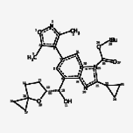 Cc1noc(C)c1-c1cc(C(O)[C@H]2CCC3(CC3)O2)c2nc(C3CC3)n(C(=O)OC(C)(C)C)c2c1